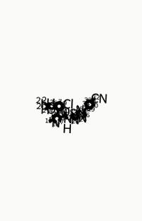 [2H]C([2H])([2H])Oc1ccc(Cl)cc1-c1cc(C)ncc1C(=O)Nc1nc2ncc(-c3ccc(C#N)cc3)nc2s1